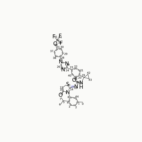 Cc1ccc(C(C)C)c(N2C(=O)CS/C2=N\C(=O)NC2(c3ccc(-c4ncn(-c5ccc(OC(F)(F)F)cc5)n4)cc3)CC2)c1